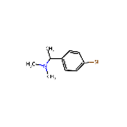 CC(c1ccc(S)cc1)N(C)C